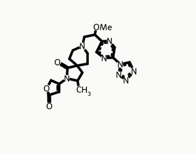 COC(CN1CCC2(CC1)CC(C)N(C1=CC(=O)OC1)C2=O)c1cnc(-n2cnnn2)cn1